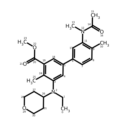 CCN(c1cc(-c2ccc(C)c(N(C)C(C)=O)c2)cc(C(=O)OC)c1C)C1CCOCC1